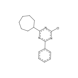 Clc1nc(-c2ccccc2)nc(C2CCCCCC2)n1